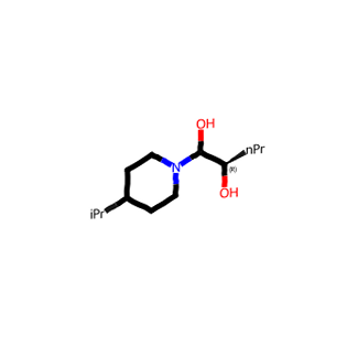 CCC[C@@H](O)C(O)N1CCC(C(C)C)CC1